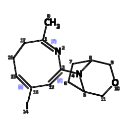 C/C1=N/C(N2C3CCC2COC3)=C\C(I)=C/CC1